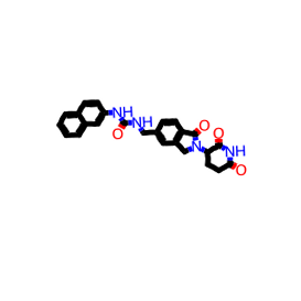 O=C1CCC(N2Cc3cc(CNC(=O)Nc4ccc5ccccc5c4)ccc3C2=O)C(=O)N1